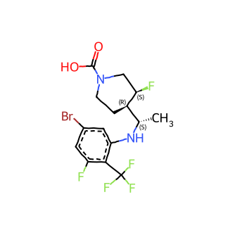 C[C@H](Nc1cc(Br)cc(F)c1C(F)(F)F)[C@H]1CCN(C(=O)O)C[C@H]1F